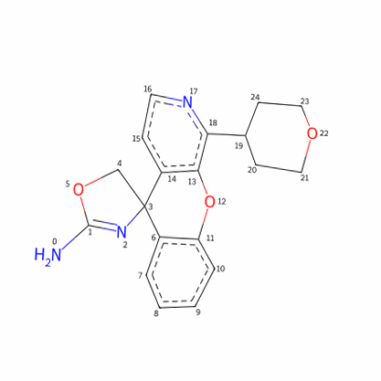 NC1=NC2(CO1)c1ccccc1Oc1c2ccnc1C1CCOCC1